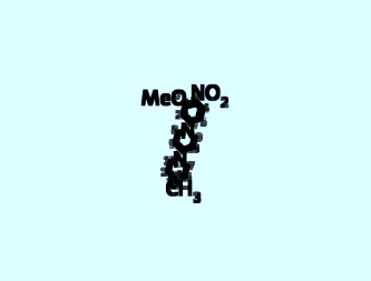 COC1=C([N+](=O)[O-])C=C[C@H](N2CCC(N3CCN(C)CC3)CC2)C1